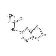 C=CC(=O)Nc1cnc2ccccc2c1